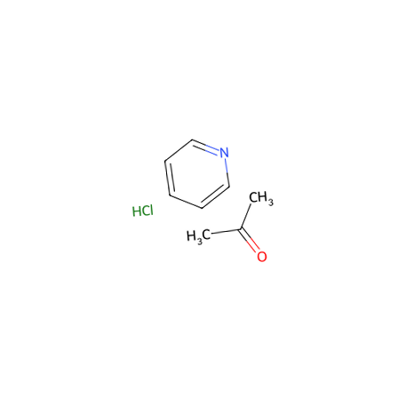 CC(C)=O.Cl.c1ccncc1